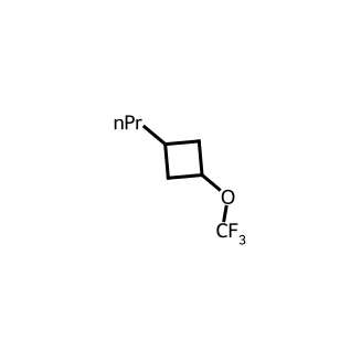 CCCC1CC(OC(F)(F)F)C1